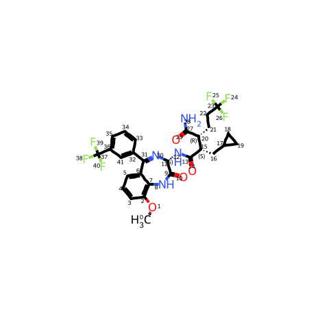 COc1cccc2c1NC(=O)[C@@H](NC(=O)[C@@H](CC1CC1)[C@@H](CCC(F)(F)F)C(N)=O)N=C2c1cccc(C(F)(F)F)c1